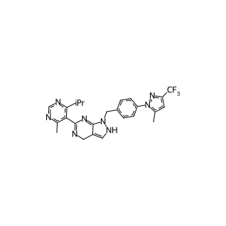 Cc1ncnc(C(C)C)c1C1=NCC2=CNN(Cc3ccc(-n4nc(C(F)(F)F)cc4C)cc3)C2=N1